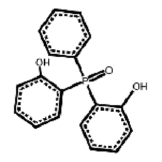 O=P(c1ccccc1)(c1ccccc1O)c1ccccc1O